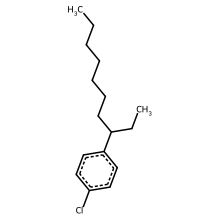 CCCCCCCC(CC)c1ccc(Cl)cc1